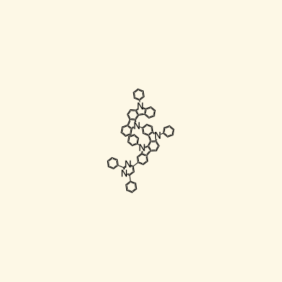 c1ccc(-c2cc(-c3ccc4c5ccc6c(c7cc(-n8c9ccccc9c9ccc%10c(c%11ccccc%11n%10-c%10ccccc%10)c98)ccc7n6-c6ccccc6)c5n(-c5ccccc5)c4c3)nc(-c3ccccc3)n2)cc1